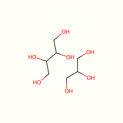 OCC(O)C(O)CO.OCC(O)CO